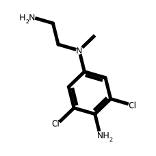 CN(CCN)c1cc(Cl)c(N)c(Cl)c1